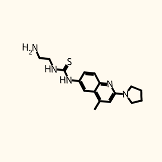 Cc1cc(N2CCCC2)nc2ccc(NC(=S)NCCN)cc12